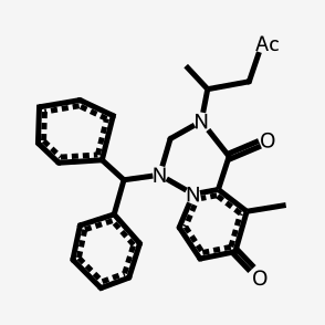 CC(=O)CC(C)N1CN(C(c2ccccc2)c2ccccc2)n2ccc(=O)c(C)c2C1=O